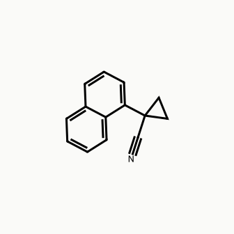 N#CC1(c2cccc3ccccc23)CC1